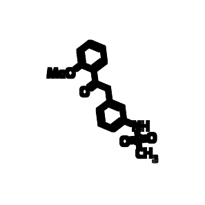 COc1ccccc1C(=O)Cc1cccc(NS(C)(=O)=O)c1